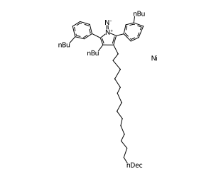 CCCCCCCCCCCCCCCCCCCCCCCCC1=C(c2cccc(CCCC)c2)[N+](=[N-])C(c2cccc(CCCC)c2)=C1CCCC.[Ni]